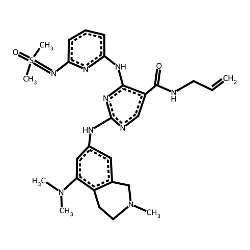 C=CCNC(=O)c1cnc(Nc2cc3c(c(N(C)C)c2)CCN(C)C3)nc1Nc1cccc(N=S(C)(C)=O)n1